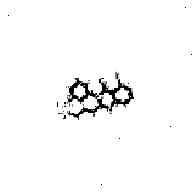 NCCCc1nc2cccc(F)c2c(=O)n1-c1cccc(C(F)(F)F)c1